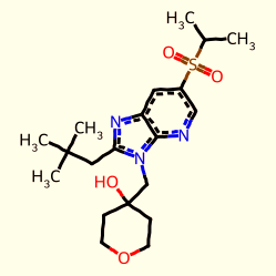 CC(C)S(=O)(=O)c1cnc2c(c1)nc(CC(C)(C)C)n2CC1(O)CCOCC1